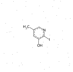 Cc1cnc(I)c(O)c1